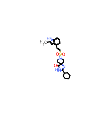 Cc1cc2c(C=CS(=O)(=O)N3CCC4(CC3)N=C(C3CCCCC3)NC4=O)cccc2[nH]1